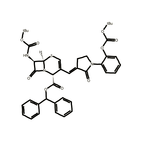 CC(C)(C)OC(=O)N[C@@H]1C(=O)N2[C@@H](C(=O)OC(c3ccccc3)c3ccccc3)C(C=C3CCN(c4ccccc4OC(=O)OC(C)(C)C)C3=O)=CS[C@H]12